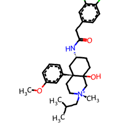 COc1cccc([C@]23CC[N@@+](C)(CC(C)C)CC2(O)CC[C@@H](NC(=O)Cc2ccc(Cl)c(Cl)c2)C3)c1